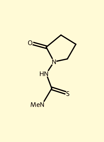 CNC(=S)NN1CCCC1=O